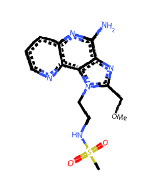 COCc1nc2c(N)nc3cccnc3c2n1CCNS(C)(=O)=O